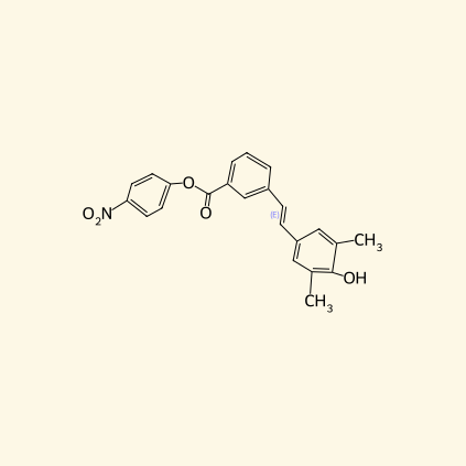 Cc1cc(/C=C/c2cccc(C(=O)Oc3ccc([N+](=O)[O-])cc3)c2)cc(C)c1O